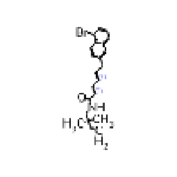 C=CC(C)(C)CNC(=O)/C=C/C=C/Cc1ccc2c(Br)cccc2c1